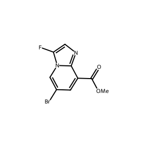 COC(=O)c1cc(Br)cn2c(F)cnc12